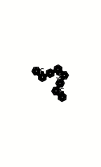 c1ccc2c(c1)sc1c(-c3ccc(-c4cccc5c4sc4c(-c6ccc(-c7cccc8c7sc7ccccc78)cc6)cccc45)cc3)cccc12